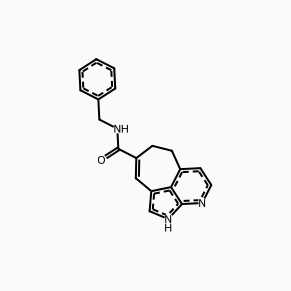 O=C(NCc1ccccc1)C1=Cc2c[nH]c3nccc(c23)CC1